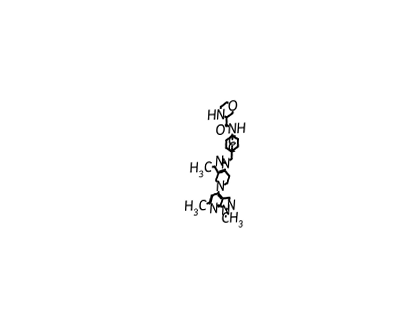 Cc1cc(N2CCc3c(c(C)nn3CC34CCC(NC(=O)C5COCCN5)(CC3)CC4)C2)c2cnn(C)c2n1